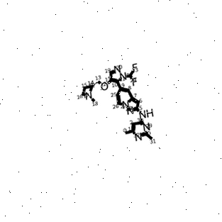 Cc1cc(Nc2cc3cc(-c4c(OC[C@H]5CCN5C)cnn4C(F)F)ccn3n2)nc(C)n1